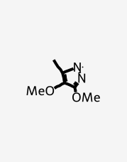 COC1=N[N]C(C)=C1OC